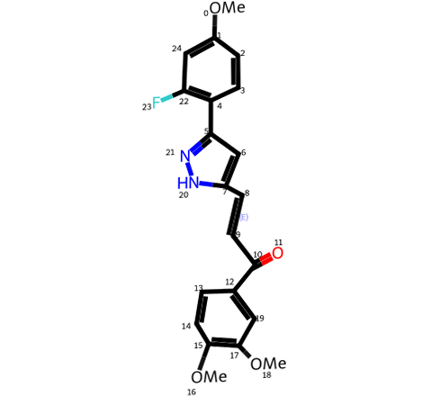 COc1ccc(-c2cc(/C=C/C(=O)c3ccc(OC)c(OC)c3)[nH]n2)c(F)c1